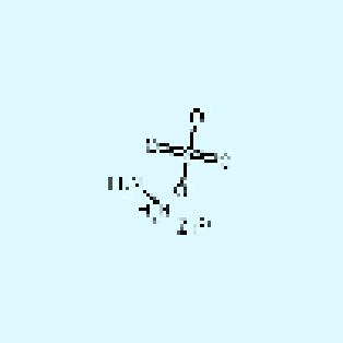 NN.O=S(=O)([O-])[O-].[Zn+2]